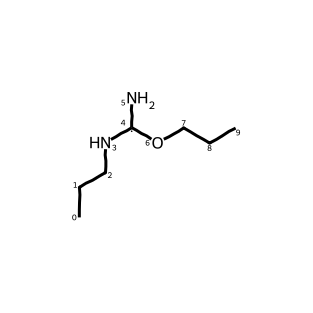 CCCN[C](N)OCCC